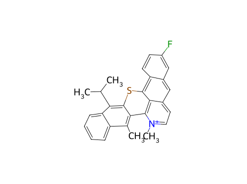 Cc1c2c(c(C(C)C)c3ccccc13)Sc1c3ccc(F)cc3cc3cc[n+](C)c-2c13